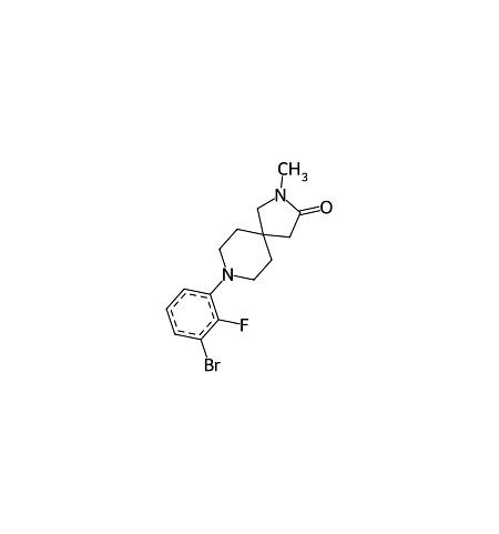 CN1CC2(CCN(c3cccc(Br)c3F)CC2)CC1=O